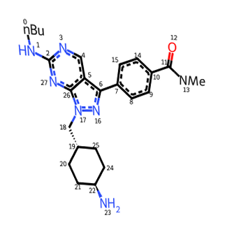 CCCCNc1ncc2c(-c3ccc(C(=O)NC)cc3)nn(C[C@H]3CC[C@H](N)CC3)c2n1